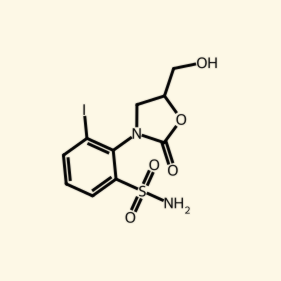 NS(=O)(=O)c1cccc(I)c1N1CC(CO)OC1=O